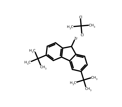 CC(C)(C)c1ccc2c(c1)-c1cc(C(C)(C)C)ccc1[CH]2[Zr].CC(C)(Cl)Cl